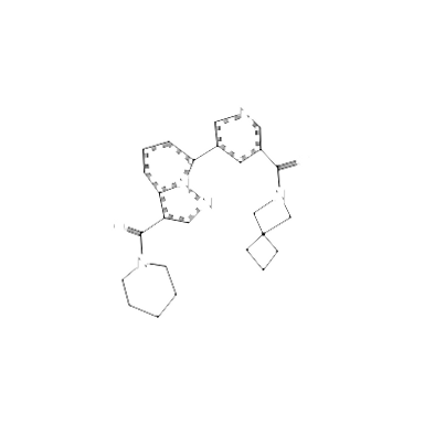 O=C(c1cncc(-c2cccc3c(C(=O)N4CCCCC4)cnn23)c1)N1CC2(CCC2)C1